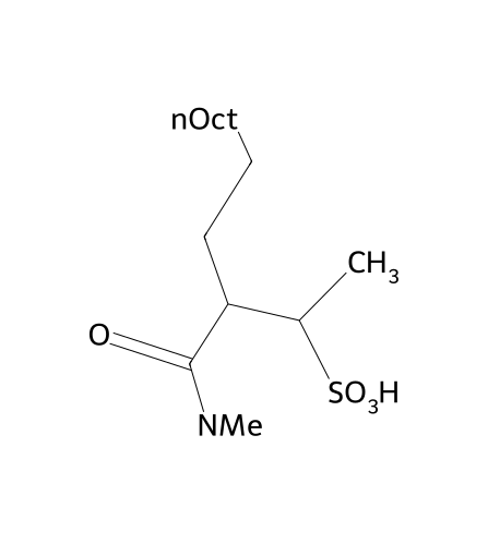 CCCCCCCCCCC(C(=O)NC)C(C)S(=O)(=O)O